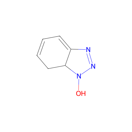 ON1N=NC2=CC=CCC21